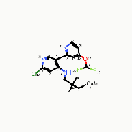 COCC(C)(C)CNc1cc(Cl)ncc1-c1cc(OC(F)F)ccn1